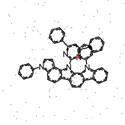 c1ccc(-c2cc(-c3ccccc3)nc(-n3c4c(ccc5c4ccn5-c4ccccc4)c4ccc5c6ccccc6n(-c6ccccc6)c5c43)n2)cc1